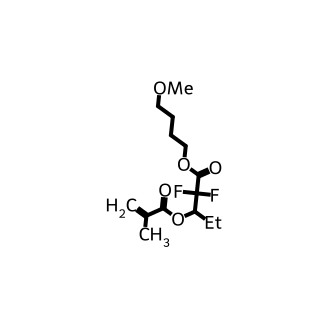 C=C(C)C(=O)OC(CC)C(F)(F)C(=O)OCCCCOC